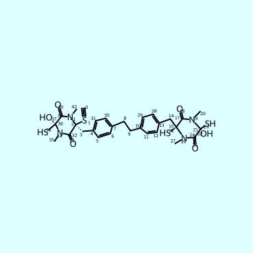 C#S[C@@]1(Cc2ccc(CCc3ccc(C[C@]4(S)C(=O)N(C)[C@@](O)(S)C(=O)N4C)cc3)cc2)C(=O)N(C)[C@@](O)(S)C(=O)N1C